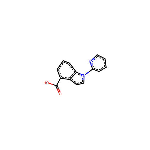 O=C(O)c1cccc2c1ccn2-c1ccccn1